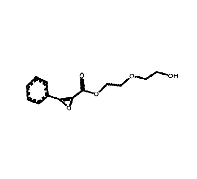 O=C(OCCOCCO)C1=C(c2ccccc2)O1